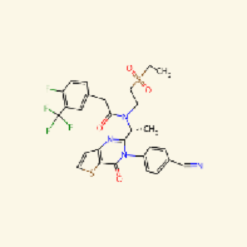 CCS(=O)(=O)CCN(C(=O)Cc1ccc(F)c(C(F)(F)F)c1)[C@H](C)c1nc2ccsc2c(=O)n1-c1ccc(C#N)cc1